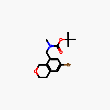 CN(Cc1cc(Br)cc2c1COCC2)C(=O)OC(C)(C)C